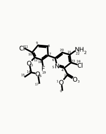 COC(=O)c1nc(-c2ccc(Cl)c(OC(C)OC)c2F)cc(N)c1Cl